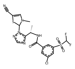 C[C@H](NC(=O)c1cc(Cl)cc(S(=O)(=O)C(F)F)c1)c1ncnn1C1SC(C#N)=CN1C